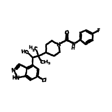 CC(C)(C1CCN(C(=O)Nc2ccc(F)cc2)CC1)C(O)c1cc(Cl)cc2[nH]ncc12